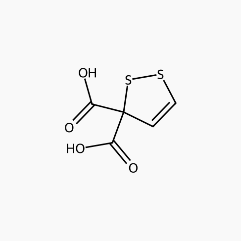 O=C(O)C1(C(=O)O)C=CSS1